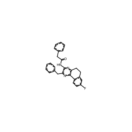 O=C(Cc1ccccc1)Nc1nc2c(nc1Cc1ccccc1)-c1ccc(F)cc1CC2